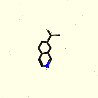 CC(C)C1CCC2C=CN=CC2C1